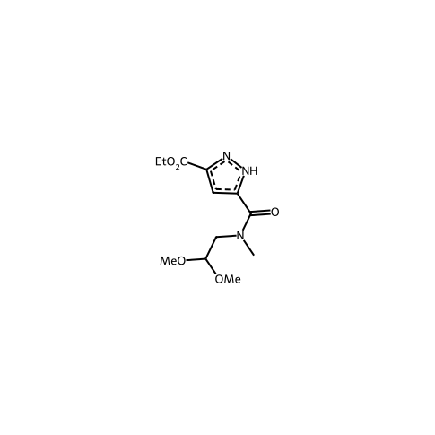 CCOC(=O)c1cc(C(=O)N(C)CC(OC)OC)[nH]n1